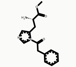 COC(=O)[C@@H](N)Cc1cncn1C(=O)Cc1ccccc1